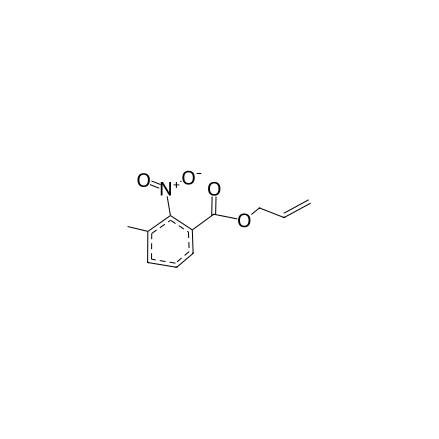 C=CCOC(=O)c1cccc(C)c1[N+](=O)[O-]